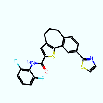 O=C(Nc1c(F)cccc1F)c1cc2c(s1)-c1cc(-c3nccs3)ccc1CCC2